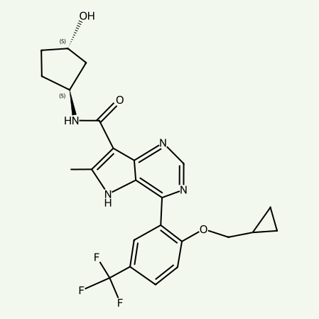 Cc1[nH]c2c(-c3cc(C(F)(F)F)ccc3OCC3CC3)ncnc2c1C(=O)N[C@H]1CC[C@H](O)C1